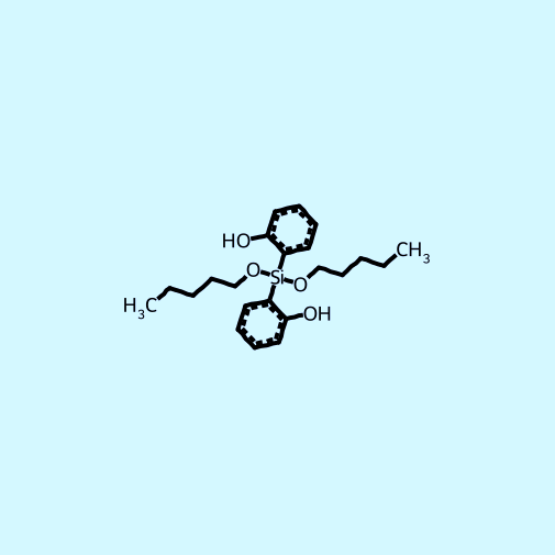 CCCCCO[Si](OCCCCC)(c1ccccc1O)c1ccccc1O